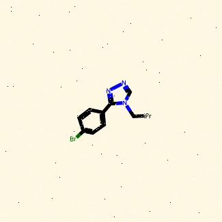 CC(C)Cn1cnnc1-c1ccc(Br)cc1